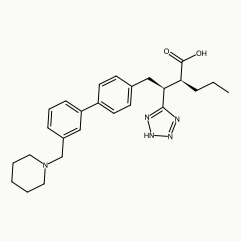 CCC[C@H](C(=O)O)[C@H](Cc1ccc(-c2cccc(CN3CCCCC3)c2)cc1)c1nn[nH]n1